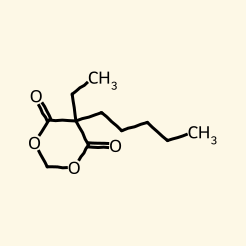 CCCCCC1(CC)C(=O)OCOC1=O